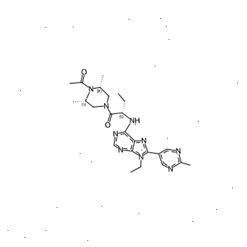 CC[C@H](Nc1ncnc2c1nc(-c1cnc(C)nc1)n2CC)C(=O)N1C[C@@H](C)N(C(C)=O)[C@@H](C)C1